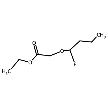 CCCC(F)OCC(=O)OCC